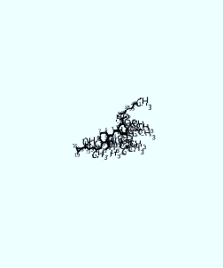 C=C1/C(=C\C=C2/CCC[C@]3(C)[C@@H]([C@H](C)CCC(O)C4CC4)CC[C@@H]23)C[C@](O[Si](C)(C)C(C)(C)C)(c2ncc(CCCC)o2)C[C@H]1O[Si](C)(C)C(C)(C)C